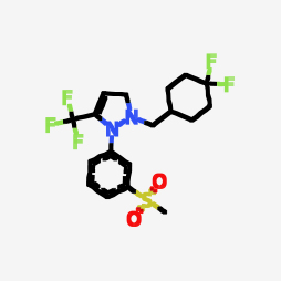 CS(=O)(=O)c1cccc(N2C(C(F)(F)F)=CCN2CC2CCC(F)(F)CC2)c1